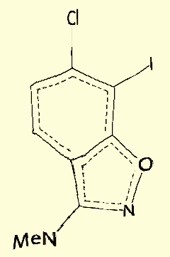 CNc1noc2c(I)c(Cl)ccc12